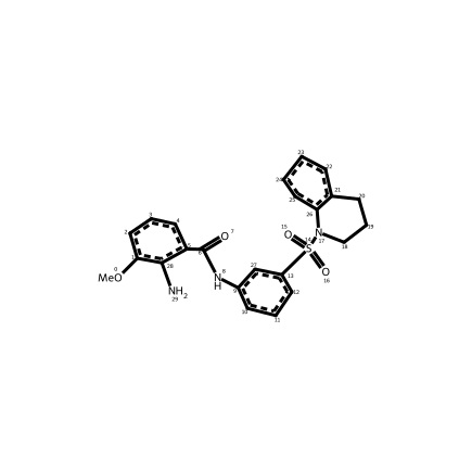 COc1cccc(C(=O)Nc2cccc(S(=O)(=O)N3CCCc4ccccc43)c2)c1N